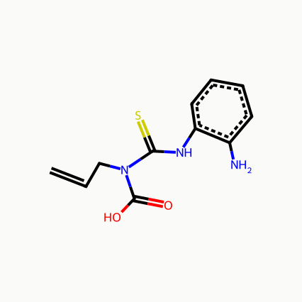 C=CCN(C(=O)O)C(=S)Nc1ccccc1N